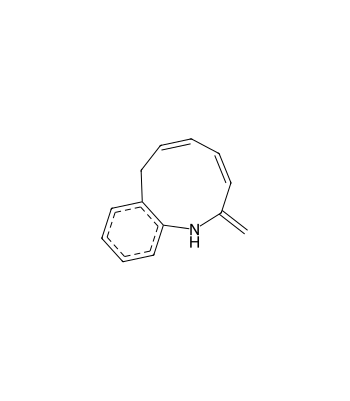 C=C1/C=C\C=C/Cc2ccccc2N1